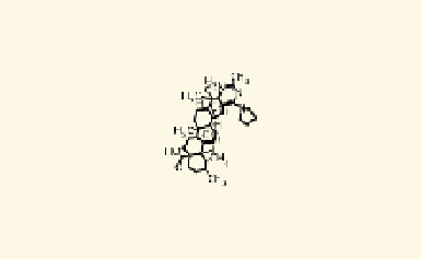 Cc1nc(N2CCCC2)c2c(n1)C(C)(C)[C@@H]1CC[C@]3(C)[C@H](CC=C4[C@@H]5[C@@H](C)[C@H](C)CC[C@]5(C(=O)O)CC[C@]43C)[C@@]1(C)C2